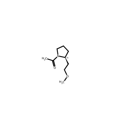 COCC[C@@H]1CCCN1C(C)=O